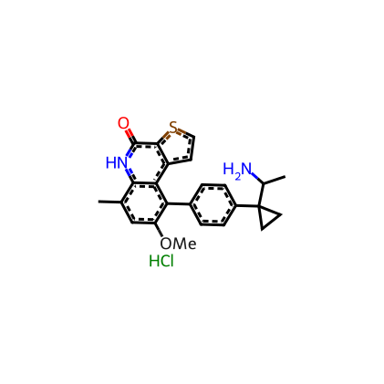 COc1cc(C)c2[nH]c(=O)c3sccc3c2c1-c1ccc(C2(C(C)N)CC2)cc1.Cl